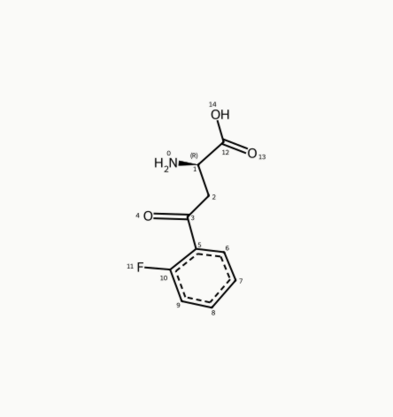 N[C@H](CC(=O)c1ccccc1F)C(=O)O